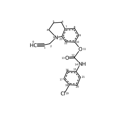 C#CCN1CCCc2ccc(OC(=O)Nc3ccc(Cl)cc3)cc21